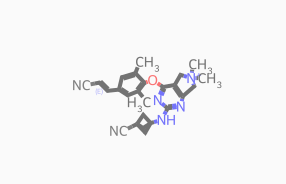 Cc1cc(/C=C/C#N)cc(C)c1Oc1nc(NC23CC(C#N)(C2)C3)nc2c1C[N+](C)(C)C2